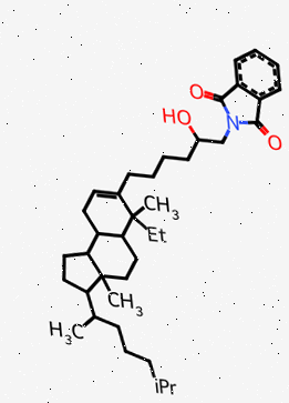 CCC1(C)C(CCCCC(O)CN2C(=O)c3ccccc3C2=O)=CCC2C1CCC1(C)C(C(C)CCCC(C)C)CCC21